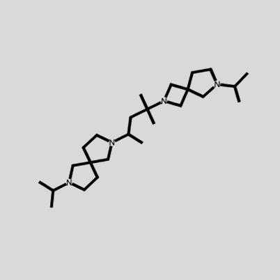 CC(C)N1CCC2(CCN(C(C)CC(C)(C)N3CC4(CCN(C(C)C)C4)C3)C2)C1